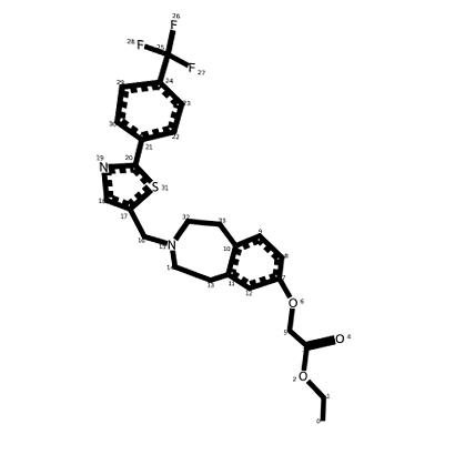 CCOC(=O)COc1ccc2c(c1)CCN(Cc1cnc(-c3ccc(C(F)(F)F)cc3)s1)CC2